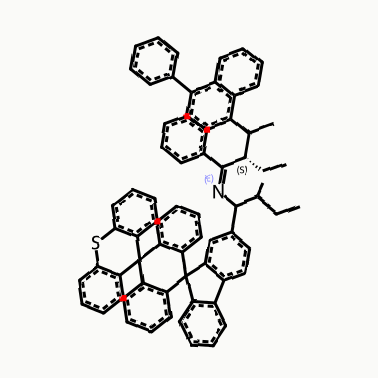 CCC(C)C(/N=C(/c1ccccc1)[C@@H](CC)C(C)c1ccc(-c2ccccc2)c2ccccc12)c1ccc2c(c1)C1(c3ccccc3-2)c2ccccc2C2(c3ccccc3Sc3ccccc32)c2ccccc21